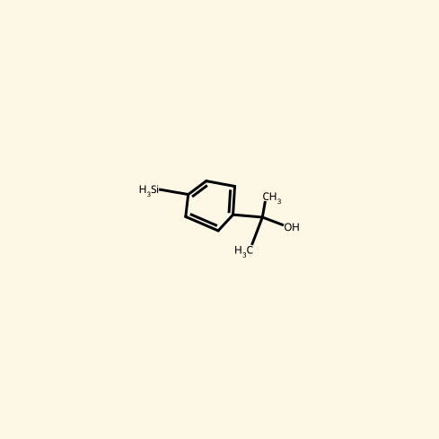 CC(C)(O)c1ccc([SiH3])cc1